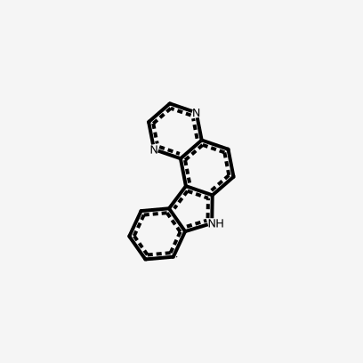 [c]1cccc2c1[nH]c1ccc3nccnc3c12